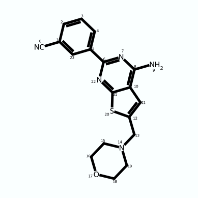 N#Cc1cccc(-c2nc(N)c3cc(CN4CCOCC4)sc3n2)c1